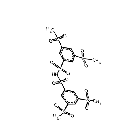 CS(=O)(=O)c1cc(S(C)(=O)=O)cc(S(=O)(=O)NS(=O)(=O)c2cc(S(C)(=O)=O)cc(S(C)(=O)=O)c2)c1